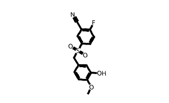 COc1ccc(CS(=O)(=O)c2ccc(F)c(C#N)c2)cc1O